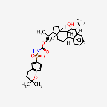 CC[C@H]1[C@@H](O)[C@@H]2[C@H](CC[C@]3(C)[C@@H]([C@H](C)COC(=O)NS(=O)(=O)c4ccc5c(c4)CCC(C)(C)O5)CC[C@@H]23)[C@@]2(C)CCCC[C@@H]12